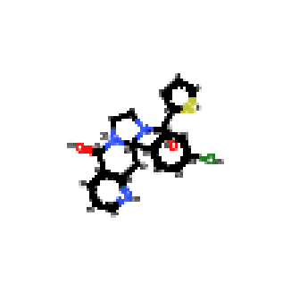 O=C(c1cccs1)N1CCN2C(=O)c3cccnc3CC12c1ccc(Cl)cc1